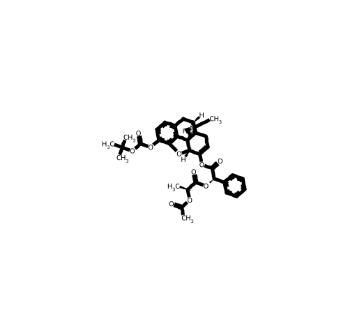 CC(=O)O[C@@H](C)C(=O)O[C@H](C(=O)OC1=CC[C@@]2(O)[C@H]3Cc4ccc(OC(=O)OC(C)(C)C)c5c4[C@@]2(CCN3C)[C@H]1O5)c1ccccc1